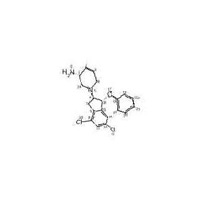 N[C@@H]1CCCN([C@@H]2Cc3c(Cl)cc(Cl)cc3[C@H]2Oc2ccccc2)C1